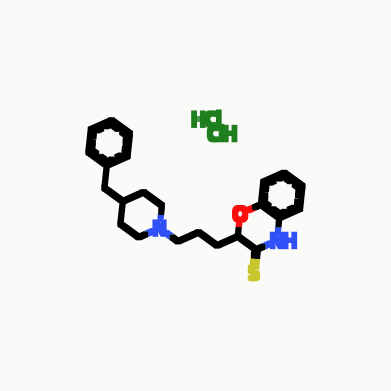 Cl.Cl.S=C1Nc2ccccc2OC1CCCN1CCC(Cc2ccccc2)CC1